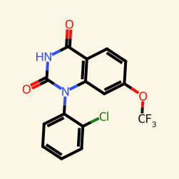 O=c1[nH]c(=O)n(-c2ccccc2Cl)c2cc(OC(F)(F)F)ccc12